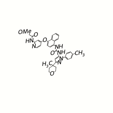 COCC(=O)Nc1cc(Oc2ccc(NC(=O)Nc3cc(C4(C)CCOCC4)nn3-c3ccc(C)cc3)c3ccccc23)ccn1